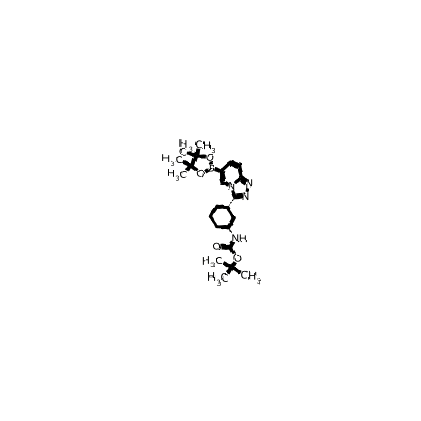 CC(C)(C)OC(=O)N[C@@H]1CCC[C@H](c2nnc3ccc(B4OC(C)(C)C(C)(C)O4)cn23)C1